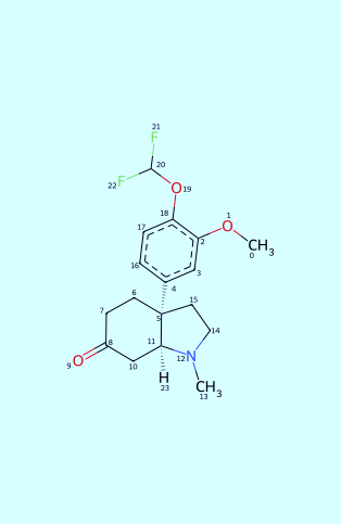 COc1cc([C@@]23CCC(=O)C[C@@H]2N(C)CC3)ccc1OC(F)F